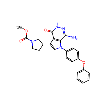 CC(C)(C)OC(=O)N1CC[C@@H](c2cn(-c3ccc(Oc4ccccc4)cc3)c3c(N)n[nH]c(=O)c23)C1